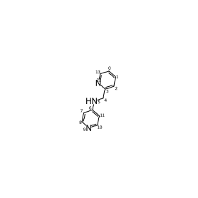 c1ccc(CNc2ccncc2)nc1